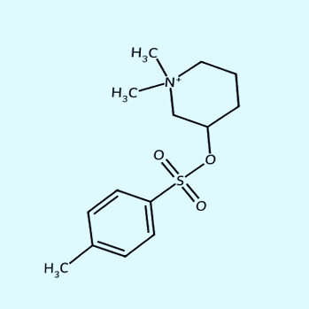 Cc1ccc(S(=O)(=O)OC2CCC[N+](C)(C)C2)cc1